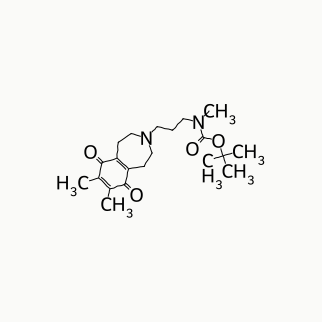 CC1=C(C)C(=O)C2=C(CCN(CCCN(C)C(=O)OC(C)(C)C)CC2)C1=O